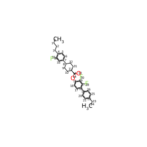 CCCCc1ccc(C2CCC(C(=O)Oc3ccc(-c4ccc(CC)cc4)c(F)c3F)CC2)cc1F